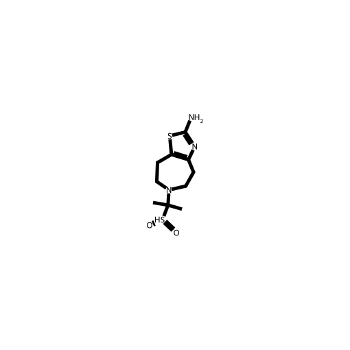 CC(C)(N1CCc2nc(N)sc2CC1)[SH](=O)=O